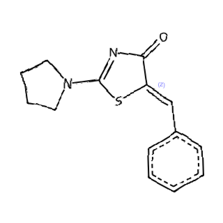 O=C1N=C(N2CCCC2)S/C1=C\c1ccccc1